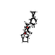 CC(C)(C)NC(=O)CN1C2CCC1CC(CNC(=O)c1cncc(C3CC3)c1)C2